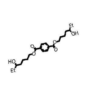 CCC(O)CCCCOC(=O)c1ccc(C(=O)OCCCCC(O)CC)cc1